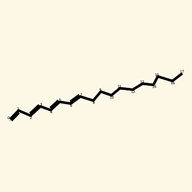 [CH]=CC=CC=CC=CCCCCCCCCCC